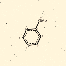 COc1ccnnn1